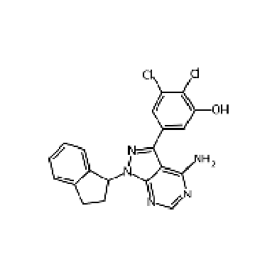 Nc1ncnc2c1c(-c1cc(O)c(Cl)c(Cl)c1)nn2C1CCc2ccccc21